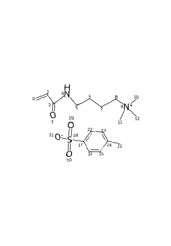 C=CC(=O)NCCCC[N+](C)(C)C.Cc1ccc(S(=O)(=O)[O-])cc1